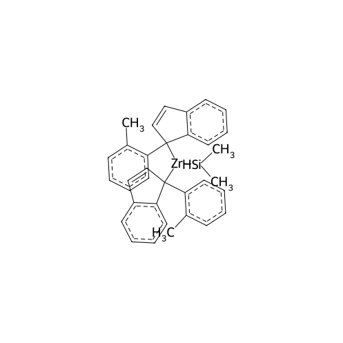 Cc1ccccc1[C]1([Zr]([SiH](C)C)[C]2(c3ccccc3C)C=Cc3ccccc32)C=Cc2ccccc21